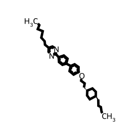 CCCCCCCc1cnc(-c2ccc(-c3ccc(OCCC[C@H]4CC[C@H](CCCCC)CC4)cc3)cc2)nc1